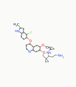 COc1cc2c(Oc3ccc4[nH]c(C)cc4c3F)ccnc2cc1OCC1(C(CCN)NC2CC2)CC1